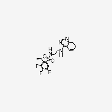 C=Cc1c(S(=O)(=O)NCCNc2ncnc3c2C=CCC3)cc(F)c(F)c1F